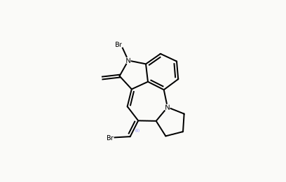 C=c1c2c3c(cccc3n1Br)N1CCCC1/C(=C/Br)C=2